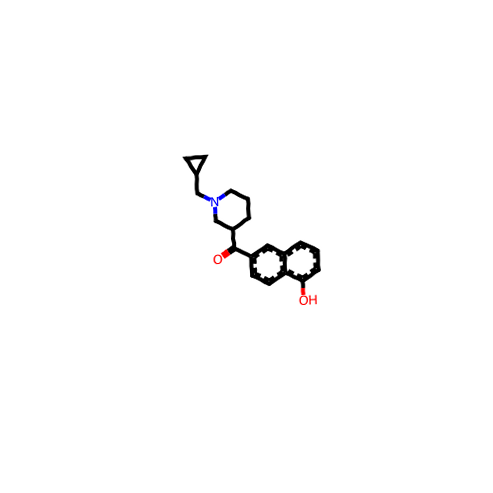 O=C(c1ccc2c(O)cccc2c1)C1CCCN(CC2CC2)C1